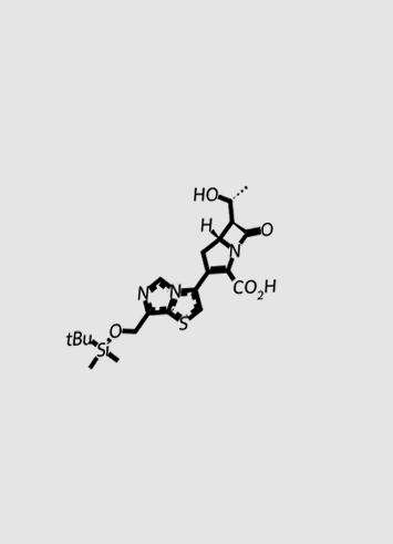 C[C@@H](O)[C@H]1C(=O)N2C(C(=O)O)=C(c3csc4c(CO[Si](C)(C)C(C)(C)C)ncn34)C[C@H]12